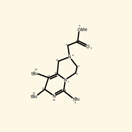 COC(=O)CN1CCN2C(C(C)(C)C)=NC(C(C)(C)C)C(C(C)(C)C)=C2C1